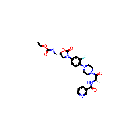 CCOC(=O)NC[C@H]1CN(c2ccc(N3CCN(C(=O)[C@H](C)NC(=O)c4cccnc4)CC3)c(F)c2)C(=O)O1